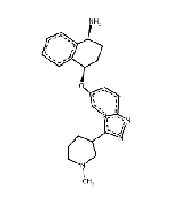 CN1CCCC(c2nnc3ccc(O[C@@H]4CC[C@H](N)c5ccccc54)cn23)C1